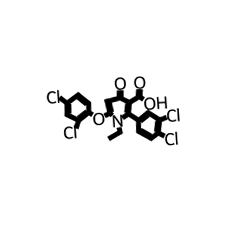 CCn1c(Oc2ccc(Cl)cc2Cl)cc(=O)c(C(=O)O)c1-c1ccc(Cl)c(Cl)c1